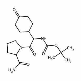 CC(C)(C)OC(=O)NC(C(=O)N1CCCC1C(N)=O)C1CCC(=O)CC1